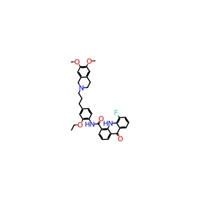 CCOc1cc(CCCN2CCc3cc(OC)c(OC)cc3C2)ccc1NC(=O)c1cccc2c(=O)c3cccc(F)c3[nH]c12